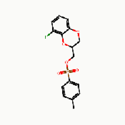 Cc1ccc(S(=O)(=O)OCC2COc3cccc(F)c3O2)cc1